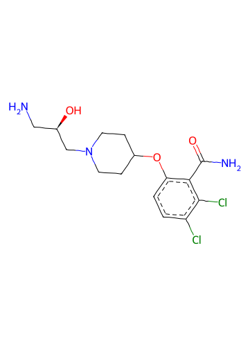 NC[C@@H](O)CN1CCC(Oc2ccc(Cl)c(Cl)c2C(N)=O)CC1